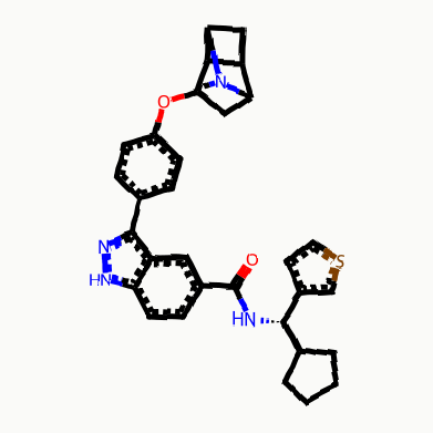 CN1C2CC(Oc3ccc(-c4n[nH]c5ccc(C(=O)N[C@H](c6ccsc6)C6CCCC6)cc45)cc3)C3C2CC31